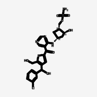 NS(=O)(=O)OC[C@H]1C[C@@H](Nc2ncncc2C(=O)c2cc(C(O)c3cccc(Cl)c3)c(CO)s2)C[C@@H]1O